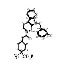 CC1(C(=O)O)CCC(CC(=O)N2CCc3c(n(Cc4cccc(Cl)c4)c4ncccc34)C2)CC1